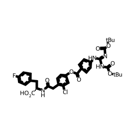 CC(C)(C)OC(=O)/N=C(/NC(=O)OC(C)(C)C)Nc1ccc(C(=O)Oc2ccc(CC(=O)N[C@@H](Cc3ccc(F)cc3)C(=O)O)c(Cl)c2)cc1